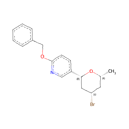 C[C@@H]1C[C@H](Br)C[C@H](c2ccc(OCc3ccccc3)nc2)O1